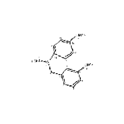 CCCCCCCCN(Cc1cccc(OC)c1)c1ccc(OC)cc1